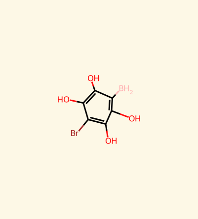 Bc1c(O)c(O)c(Br)c(O)c1O